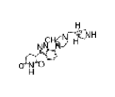 Cn1nc(C2CCC(=O)NC2=O)c2cccc(N3CCN(CC4[C@H]5CNC[C@@H]45)CC3)c21